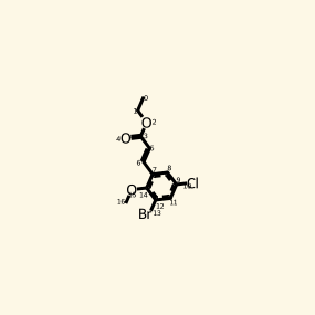 CCOC(=O)/C=C/c1cc(Cl)cc(Br)c1OC